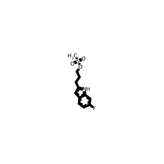 CS(=O)(=O)OCCCc1cc2ccc(F)cc2[nH]1